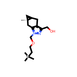 C[C@]12C=C1Cc1c(CO)nn(COCC[Si](C)(C)C)c1C2